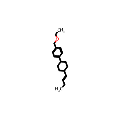 CCC=CC1CCC(c2ccc(COCC)cc2)CC1